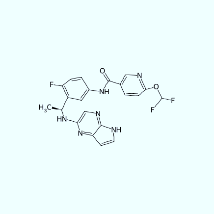 C[C@H](Nc1cnc2[nH]ccc2n1)c1cc(NC(=O)c2ccc(OC(F)F)nc2)ccc1F